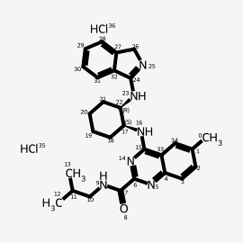 Cc1ccc2nc(C(=O)NCC(C)C)nc(N[C@H]3CCCC[C@H]3NC3=NCc4ccccc43)c2c1.Cl.Cl